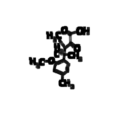 CCC(C(=O)C(=O)O)C(C)(C)c1ccc(C)cc1OC